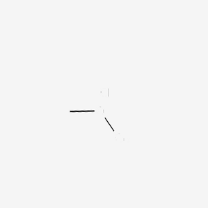 C[O][Co+].[Cl-]